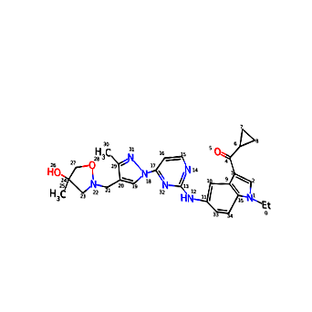 CCn1cc(C(=O)C2CC2)c2cc(Nc3nccc(-n4cc(CN5CC(C)(O)CO5)c(C)n4)n3)ccc21